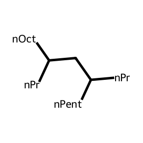 CCCCCCCCC(CCC)CC(CCC)CCCCC